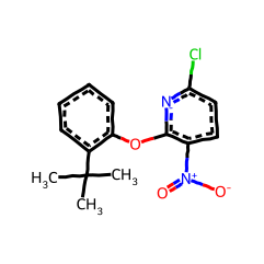 CC(C)(C)c1ccccc1Oc1nc(Cl)ccc1[N+](=O)[O-]